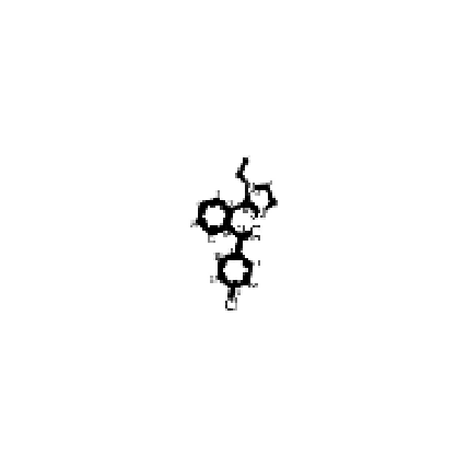 CCN1CCN=C1c1ccccc1C(=O)c1ccc(Cl)cc1